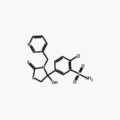 NS(=O)(=O)c1cc(C2(O)CSC(=S)N2Cc2cccnc2)ccc1Cl